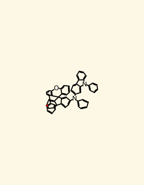 c1ccc(-c2cccc3c2C2(c4ccccc4O3)c3ccccc3-c3ccc(N(c4ccccc4)c4ccc5c6ccccc6n(-c6ccccc6)c5c4)cc32)cc1